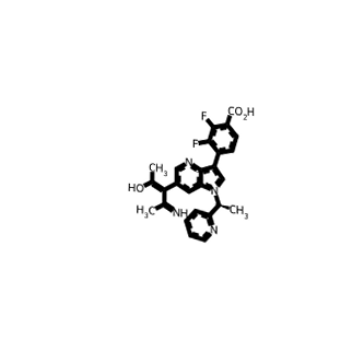 CC(=N)/C(=C(/C)O)c1cnc2c(-c3ccc(C(=O)O)c(F)c3F)cn([C@@H](C)c3ccccn3)c2c1